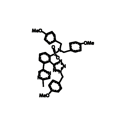 COc1ccc(CN(Cc2ccc(OC)cc2)S(=O)(=O)c2cccc(-c3cnc(C)cn3)c2-c2nnn(Cc3ccc(OC)cc3)n2)cc1